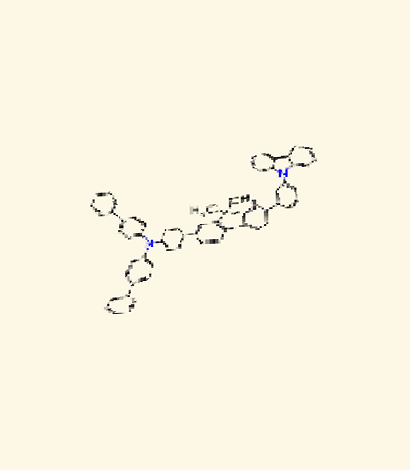 CC1(C)c2cc(-c3ccc(N(c4ccc(-c5ccccc5)cc4)c4ccc(-c5ccccc5)cc4)cc3)ccc2-c2ccc(-c3cccc(-n4c5ccccc5c5ccccc54)c3)cc21